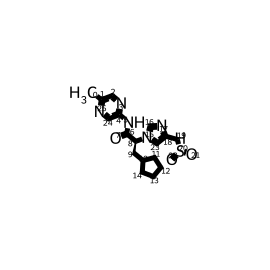 Cc1cnc(NC(=O)[C@H](CC2CCCC2)n2cnc(C[SH](=O)=O)c2)cn1